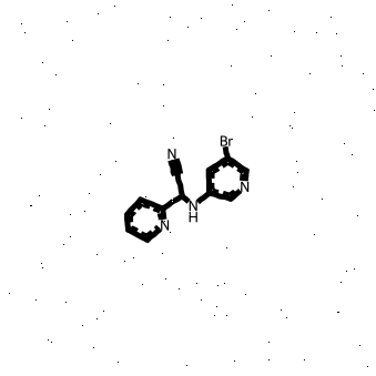 N#CC(Nc1cncc(Br)c1)c1ccccn1